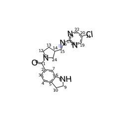 O=C(c1ccc2c(c1)NCC2)N1CCC(/C=N/c2ncc(Cl)cn2)C1